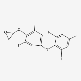 Cc1cc(I)c(Oc2cc(I)c(OC3CO3)c(I)c2)c(I)c1